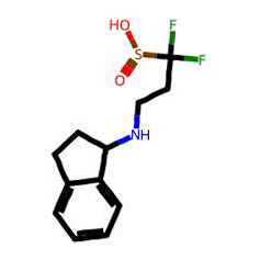 O=S(O)C(F)(F)CCNC1CCc2ccccc21